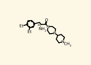 CCc1ccc(C[C@@H](N)C(=O)N2CCN(C3CCN(C)CC3)CC2)cc1CC